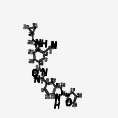 N#Cc1cc(-c2nc(-c3ccc4c(c3)CC(=C3CC=CO3)N4)no2)ccc1NCC1CC1